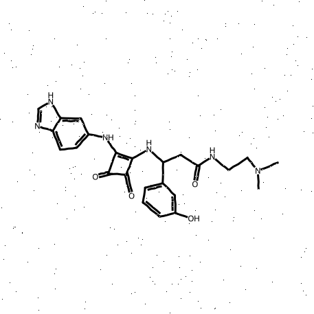 CN(C)CCNC(=O)CC(Nc1c(Nc2ccc3nc[nH]c3c2)c(=O)c1=O)c1cccc(O)c1